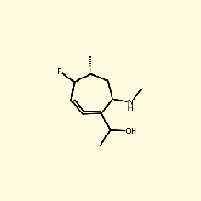 CNC1C[C@@H](C)C(F)C=C=C1C(C)O